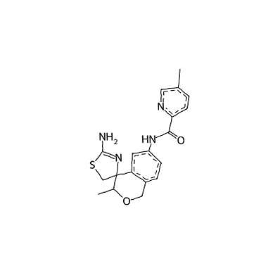 Cc1ccc(C(=O)Nc2ccc3c(c2)C2(CSC(N)=N2)C(C)OC3)nc1